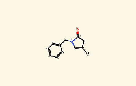 CCC1CC(=O)N(Cc2ccccc2)C1